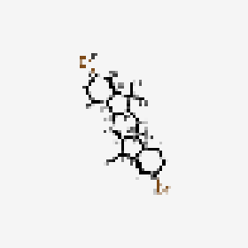 CC1C2=CC(Br)CCC2[C@H]2CC3C(C=C12)C1CCC(Br)C=C1C3(C)C